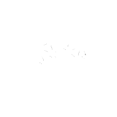 Cc1cccc2c1C1(CCN(C(=O)c3ccc4[nH]ncc4c3)CC1)C(=O)N2CC(=O)N1CC(C)OC(C)C1